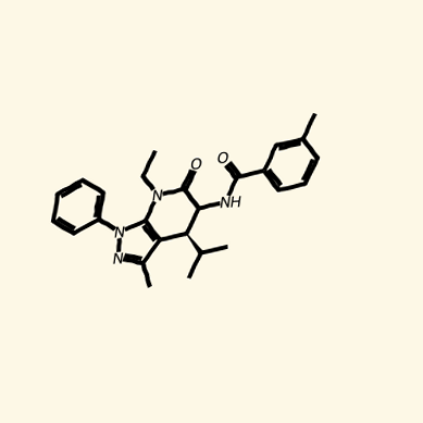 CCN1C(=O)C(NC(=O)c2cccc(C)c2)[C@@H](C(C)C)c2c(C)nn(-c3ccccc3)c21